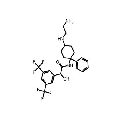 CC(C(=O)NC1(c2ccccc2)CCC(NCCN)CC1)c1cc(C(F)(F)F)cc(C(F)(F)F)c1